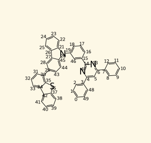 c1ccc(-c2cc(-c3ccccc3)nc(-c3cccc(-n4c5ccccc5c5cc(-c6cccc7c6sc6ccccc67)ccc54)c3)n2)cc1